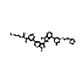 CCCCC(=O)Nc1cncc(-c2cnc3[nH]nc(-c4nc5c(-c6cc(F)cc(OCCN7CCCC7)c6)ccnc5[nH]4)c3c2)c1